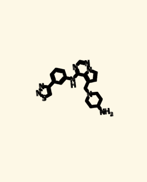 NC1CCN(Cc2ccn3ncnc(Nc4cccc(-c5csnn5)c4)c23)CC1